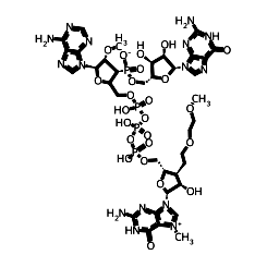 COCCOCC[C@H]1[C@@H](O)[C@H](n2c[n+](C)c3c(=O)[nH]c(N)nc32)O[C@@H]1COP(=O)(O)OP(=O)(O)OP(=O)(O)OCC1O[C@@H](n2cnc3c(N)ncnc32)[C@H](OC)[C@@H]1P(=O)([O-])OC[C@H]1O[C@@H](n2cnc3c(=O)[nH]c(N)nc32)[C@H](O)[C@@H]1O